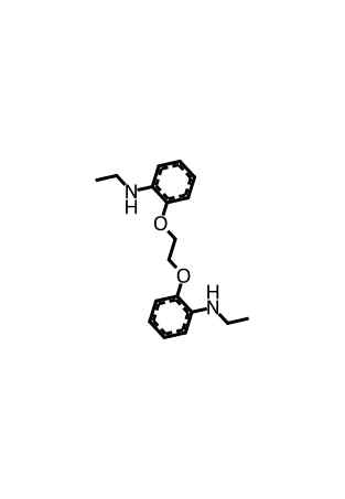 CCNc1ccccc1OCCOc1ccccc1NCC